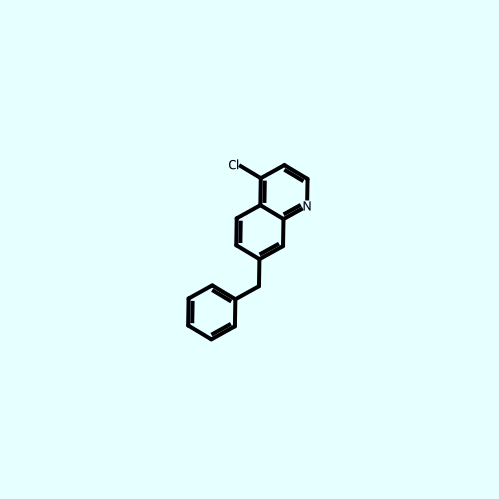 Clc1ccnc2cc(Cc3ccccc3)ccc12